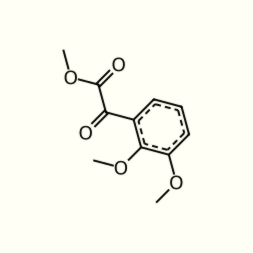 COC(=O)C(=O)c1cccc(OC)c1OC